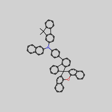 CC1(C)c2ccccc2-c2ccc(N(c3ccc(-c4cccc5c4-c4ccccc4C54c5ccc6ccccc6c5Oc5c4ccc4ccccc54)cc3)c3ccc4ccccc4c3)cc21